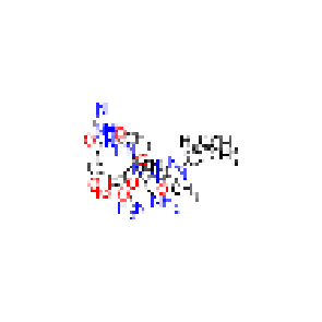 Cc1nc(-c2ccc(C(C)(C)C)cc2)nc(C)c1C(=O)NC(CCN)C(=O)N(C)[C@@H]1C(=O)N[C@@H](C)C(=O)N[C@H](C(=O)NCC#N)Cc2ccc(O)c(c2)-c2cc1cc(OCCN)c2O